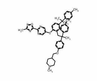 Cc1ccc(C(C)(C)c2ccc(Sc3cnc(-c4nc(C)no4)nc3)c(CC(C)(c3ccc(C)cc3)c3ccc(OCC4CCN(C)CC4)cc3)c2)cc1